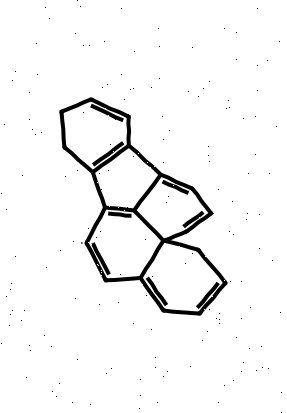 [C]1=CC2=CC=CCC23C=CC=C2C4=C(CCC=C4)C1=C23